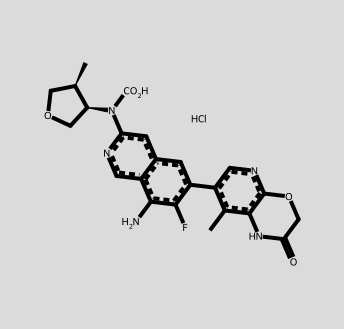 Cc1c(-c2cc3cc(N(C(=O)O)[C@H]4COC[C@H]4C)ncc3c(N)c2F)cnc2c1NC(=O)CO2.Cl